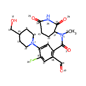 CN(C(=O)c1cc(N2CCC(CO)CC2)c(F)cc1C=O)C1CCC(=O)NC1=O